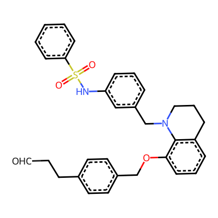 O=CCCc1ccc(COc2cccc3c2N(Cc2cccc(NS(=O)(=O)c4ccccc4)c2)CCC3)cc1